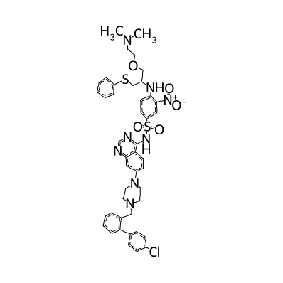 CN(C)CCOCC(CSc1ccccc1)Nc1ccc(S(=O)(=O)Nc2ncnc3cc(N4CCN(Cc5ccccc5-c5ccc(Cl)cc5)CC4)ccc23)cc1[N+](=O)[O-]